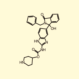 O=C(Nc1nc2cc(C3(O)c4ccccc4C(=O)N3Cc3ccccc3)ccc2[nH]1)OC1CCNCC1